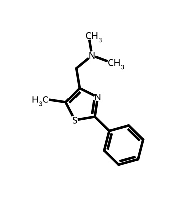 Cc1sc(-c2ccccc2)nc1CN(C)C